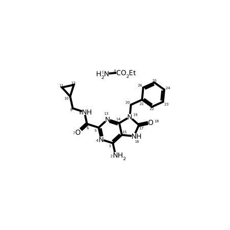 CCOC(N)=O.Nc1nc(C(=O)NCC2CC2)nc2c1[nH]c(=O)n2Cc1ccccc1